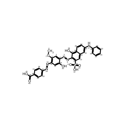 COc1cc(N=Nc2c(S(=O)(=O)O)cc3cc(Nc4ccccc4)ccc3c2O)c(O)cc1N=Nc1ccc(C(=O)O)cc1